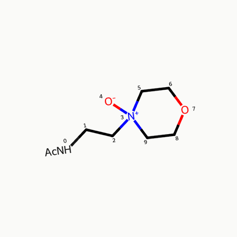 CC(=O)NCC[N+]1([O-])CCOCC1